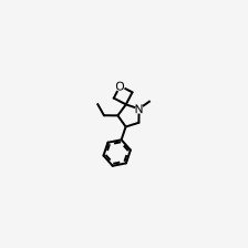 CCC1C(c2ccccc2)CN(C)C12COC2